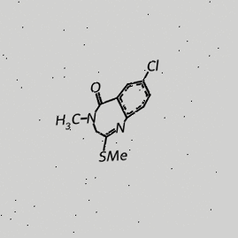 CSC1=Nc2ccc(Cl)cc2C(=O)N(C)C1